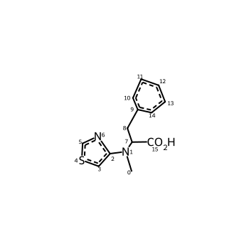 CN(c1cscn1)C(Cc1ccccc1)C(=O)O